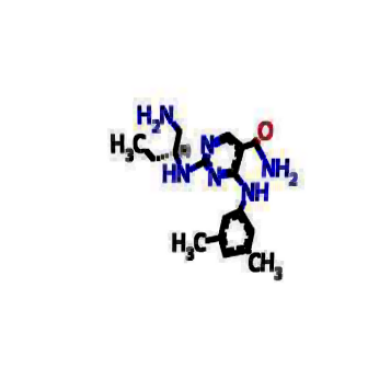 CC[C@H](CN)Nc1ncc(C(N)=O)c(Nc2cc(C)cc(C)c2)n1